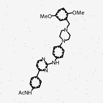 COc1ccc(OC)c(CN2CCN(c3ccc(Nc4nccc(-c5ccc(NC(C)=O)cc5)n4)cc3)CC2)c1